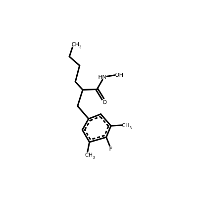 CCCCC(Cc1cc(C)c(F)c(C)c1)C(=O)NO